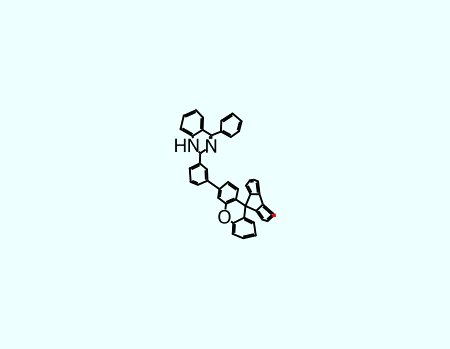 c1ccc(C2=NC(c3cccc(-c4ccc5c(c4)Oc4ccccc4C54c5ccccc5-c5ccccc54)c3)Nc3ccccc32)cc1